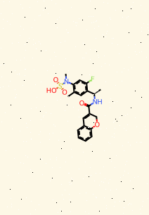 Cc1cc([C@@H](C)NC(=O)C2=Cc3ccccc3OC2)c(F)cc1N(C)S(=O)(=O)O